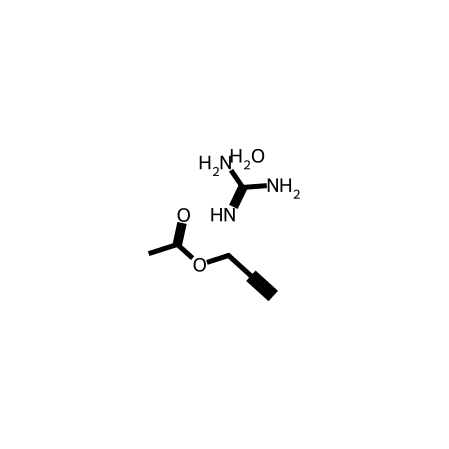 C#CCOC(C)=O.N=C(N)N.O